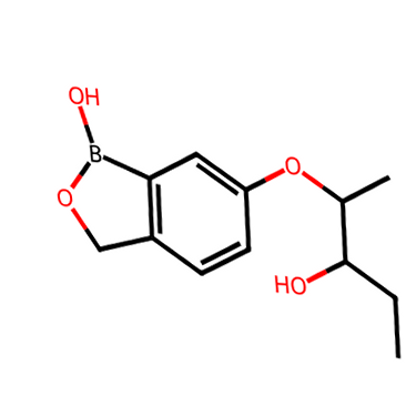 CCC(O)C(C)Oc1ccc2c(c1)B(O)OC2